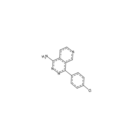 Nc1nnc(-c2ccc(Cl)cc2)c2cnccc12